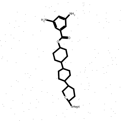 CCCCCCCC1CCC(C2CCC(C3CCC(OC(=O)c4cc(N)cc(N)c4)CC3)CC2)CC1